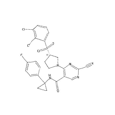 N#Cc1ncc(C(=O)NC2(c3ccc(F)cc3)CC2)c(N2CC[C@H](S(=O)(=O)c3cccc(Cl)c3Cl)C2)n1